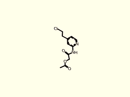 CC(=O)OCC(=O)Nc1cc(CCCl)ccn1